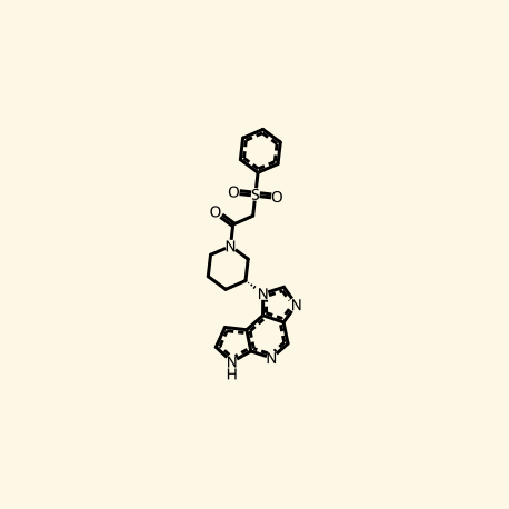 O=C(CS(=O)(=O)c1ccccc1)N1CCC[C@@H](n2cnc3cnc4[nH]ccc4c32)C1